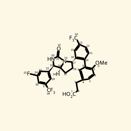 COc1ccc(CCC(=O)O)cc1-c1ccc(C(F)(F)F)cc1[C@@H]1CC[C@H]2[C@@H](c3cc(F)cc(C(F)(F)F)c3)NC(=O)N12